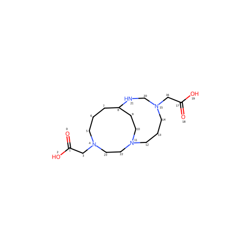 O=C(O)CN1CCCC2CCN(CCCN(CC(=O)O)CN2)CC1